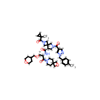 C[C@@H](OCC1CCOCC1)[C@H](NC(=O)[C@@H]1CN(C(=O)c2cnn(Cc3ccc(C(F)(F)F)cc3)c2)CC12CN(C(=O)C1(C(F)(F)F)CC1)C2)C(=O)N1CCC2(CC1)COC2